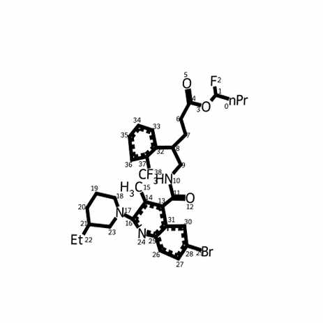 CCCC(F)OC(=O)CCC(CNC(=O)c1c(C)c(N2CCCC(CC)C2)nc2ccc(Br)cc12)c1ccccc1C(F)(F)F